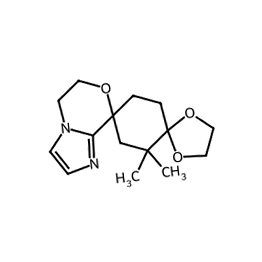 CC1(C)CC2(CCC13OCCO3)OCCn1ccnc12